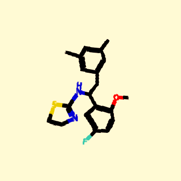 COc1ccc(F)cc1C(Cc1cc(C)cc(C)c1)NC1=NCCS1